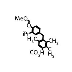 COCOc1ccc(Cc2c(C)cc(C(=O)O)c(C)c2C)cc1C(C)C